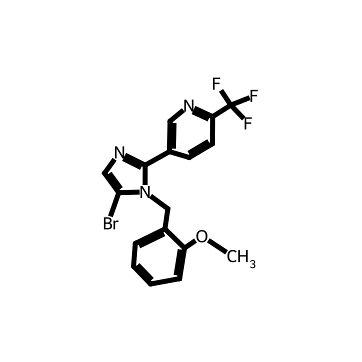 COc1ccccc1Cn1c(Br)cnc1-c1ccc(C(F)(F)F)nc1